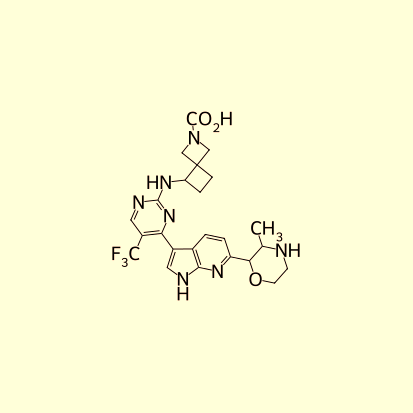 CC1NCCOC1c1ccc2c(-c3nc(NC4CCC45CN(C(=O)O)C5)ncc3C(F)(F)F)c[nH]c2n1